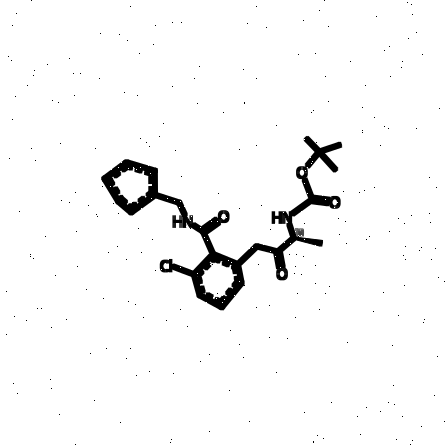 C[C@H](NC(=O)OC(C)(C)C)C(=O)Cc1cccc(Cl)c1C(=O)NCc1ccccc1